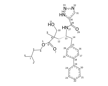 CC(C)CCOC(=O)C(C)(CO)C[C@@H](Cc1ccc(-c2ccccc2)cc1)NC(=O)c1cnn[nH]1